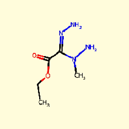 CCOC(=O)/C(=N/N)N(C)N